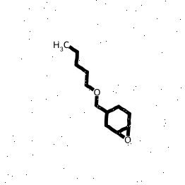 CCCCCOCC1CCC2OC2C1